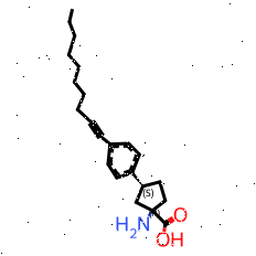 CCCCCCCCC#Cc1ccc([C@H]2CC[C@](N)(C(=O)O)C2)cc1